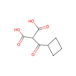 O=C(O)C(C(=O)O)C(=O)C1CCC1